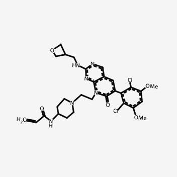 C=CC(=O)NC1CCN(CCn2c(=O)c(-c3c(Cl)c(OC)cc(OC)c3Cl)cc3cnc(NCC4COC4)nc32)CC1